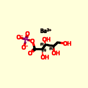 O=C(OP(=O)([O-])[O-])[C@@H](O)[C@H](O)[C@H](O)CO.[Ba+2]